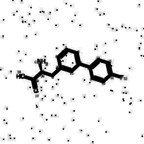 N[C@@H](Cc1cccc(-c2ccc(F)cc2)c1)C(=O)O